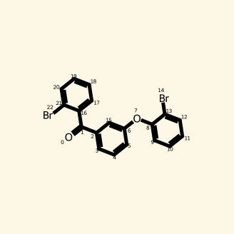 O=C(c1cccc(Oc2ccccc2Br)c1)c1ccccc1Br